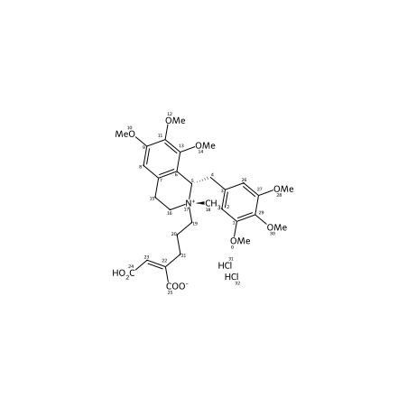 COc1cc(C[C@H]2c3c(cc(OC)c(OC)c3OC)CC[N@@+]2(C)CCCC(=CC(=O)O)C(=O)[O-])cc(OC)c1OC.Cl.Cl